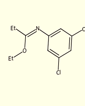 CCO/C(CC)=N\c1cc(Cl)cc(Cl)c1